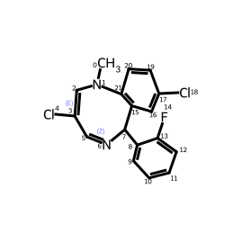 CN1/C=C(Cl)\C=N/C(c2ccccc2F)c2cc(Cl)ccc21